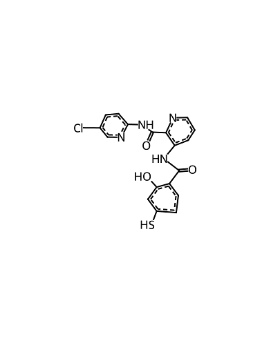 O=C(Nc1cccnc1C(=O)Nc1ccc(Cl)cn1)c1ccc(S)cc1O